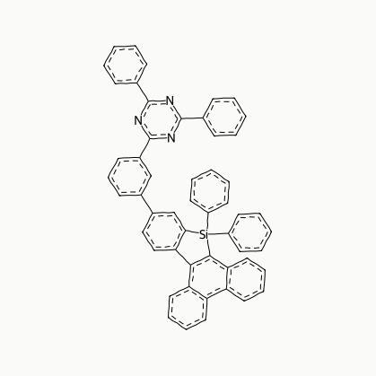 c1ccc(-c2nc(-c3ccccc3)nc(-c3cccc(-c4ccc5c(c4)[Si](c4ccccc4)(c4ccccc4)c4c-5c5ccccc5c5ccccc45)c3)n2)cc1